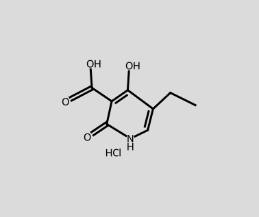 CCc1c[nH]c(=O)c(C(=O)O)c1O.Cl